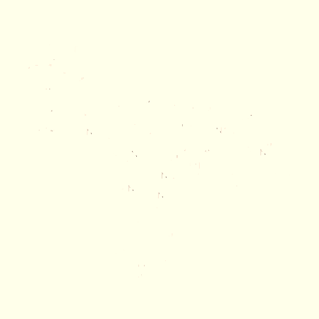 Cc1ccc(O)c(C(=O)N2CCC3(CCCc4c3c(=O)n3nc(C5=CCOCC5)nc3n4CC(=O)Nc3ccc(C(F)(F)F)cc3Cl)CC2)n1